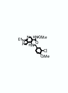 CCn1ncc2c(NCc3ccc(OC)c(Cl)c3)c(C(=O)NOC)cnc21